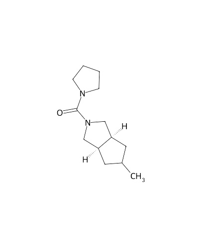 CC1C[C@@H]2CN(C(=O)N3CCCC3)C[C@@H]2C1